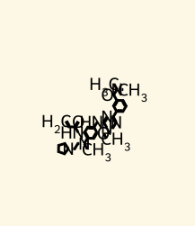 C=CC(=O)Nc1cc(Nc2ncnc(-c3cccc(C(=O)N(C)C)c3)n2)c(OC)cc1N(C)CCN1CCCC1